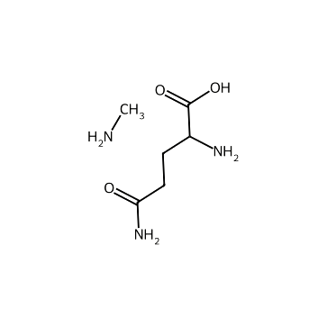 CN.NC(=O)CCC(N)C(=O)O